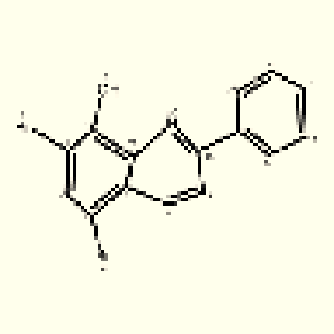 Oc1c(Br)cc(Br)c2ccc(-c3ccccc3)nc12